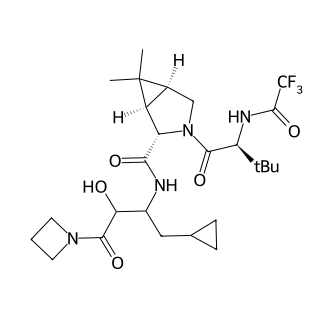 CC(C)(C)[C@H](NC(=O)C(F)(F)F)C(=O)N1C[C@H]2[C@@H]([C@H]1C(=O)NC(CC1CC1)C(O)C(=O)N1CCC1)C2(C)C